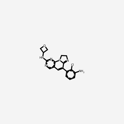 Nc1cccc(C2=Cc3cnc(NC4COC4)nc3N3CCN=C23)c1Cl